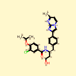 Cc1ccn2cc(-c3ccc(C[C@@H](CCO)NC(=O)c4ccc(OC(C)C)c(Cl)c4)cc3)nc2n1